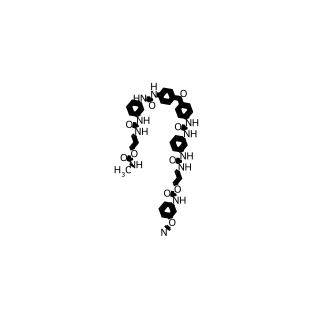 CNC(=O)OCCCNC(=O)Nc1cccc(NC(=O)Nc2ccc(C(=O)c3ccc(NC(=O)Nc4cccc(NC(=O)NCCCOC(=O)Nc5cccc(OC#N)c5)c4)cc3)cc2)c1